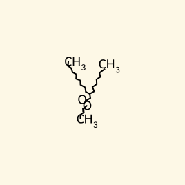 CCC=COC(=O)CC(CCCCCCCC)CCCCCCCCCC